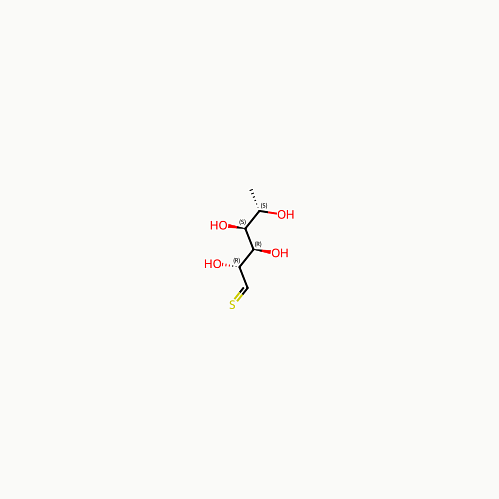 C[C@H](O)[C@H](O)[C@@H](O)[C@@H](O)C=S